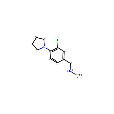 O=C(O)NCc1ccc(N2CCCC2)c(F)c1